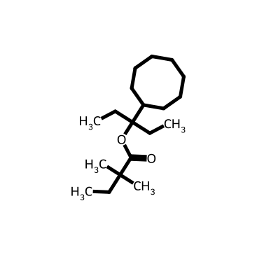 CCC(C)(C)C(=O)OC(CC)(CC)C1CCCCCCC1